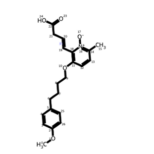 COc1ccc(CCCCOc2ccc(C)[n+]([O-])c2/C=C/CC(=O)O)cc1